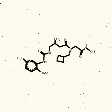 COc1ccc(C)cc1NC(=O)NCC(C)CC(=O)N(CC(=O)NO)CC1CCC1